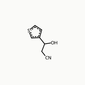 N#CCC(O)c1ccsc1